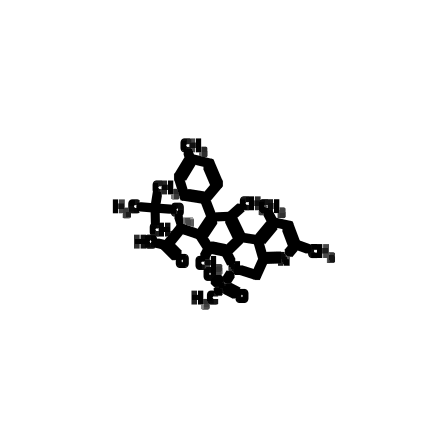 Cc1ccc(-c2c(C)c3c(c(C)c2[C@H](OC(C)(C)C)C(=O)O)N(S(C)(=O)=O)Cc2nc(C)cc(C)c2-3)cc1